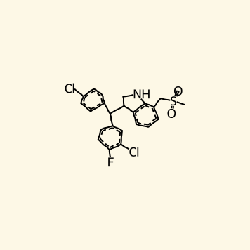 CS(=O)(=O)Cc1cccc2c1NCC2C(c1ccc(Cl)cc1)c1ccc(F)c(Cl)c1